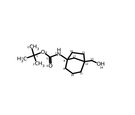 CC(C)(C)OC(=O)NC12CCCC(CO)(CC1)C2